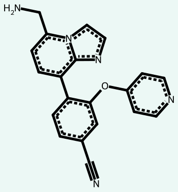 N#Cc1ccc(-c2ccc(CN)n3ccnc23)c(Oc2ccncc2)c1